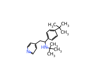 CC(C)(C)NC(Cc1ccncc1)c1ccc(C(C)(C)C)cc1